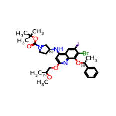 CO[C@@H](C)COc1cc(N[C@H]2CCN(C(=O)OC(C)(C)C)C2)c2cc(I)c(Br)c(O[C@@H](C)c3ccccc3)c2n1